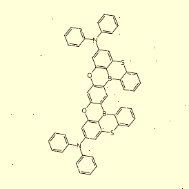 c1ccc(N(c2ccccc2)c2cc3c4c(c2)Sc2ccccc2B4c2cc4c(cc2O3)Oc2cc(N(c3ccccc3)c3ccccc3)cc3c2B4c2ccccc2S3)cc1